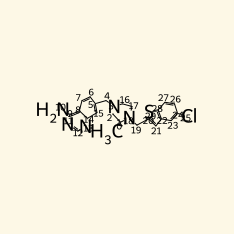 C[C@@H]1CN(Cc2ccc3c(N)ncnc3c2)CCN1Cc1cc2cc(Cl)ccc2s1